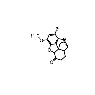 COc1cc(Br)c2c3c1OC1C(=O)CCC4C(C2)NCCC314